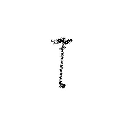 C=C(C)[C@H]1Cc2c(ccc3c2O[C@@H]2COc4cc(OC)c(OC)cc4C2/C3=N/OCC(=O)NCCOCCOCCOCCOCCOCCOCCOCCOCCC(=O)ON2C(=O)CCC2=O)O1